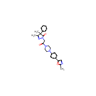 CC1=NN(CC(=O)N2CCN(c3ccc(-c4cnc(C)o4)cc3)CC2)C(=O)C1(C)c1ccccc1